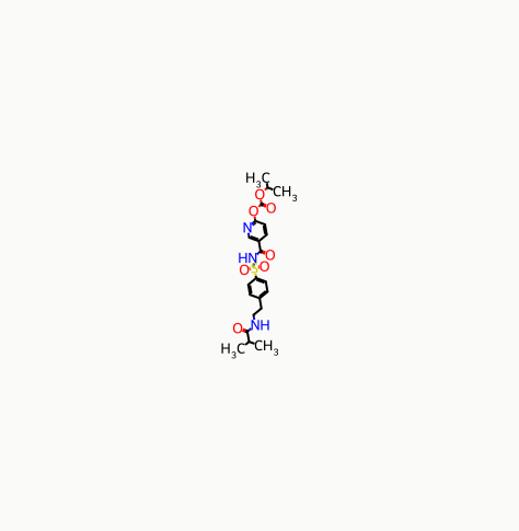 CC(C)OC(=O)Oc1ccc(C(=O)NS(=O)(=O)c2ccc(CCNC(=O)C(C)C)cc2)cn1